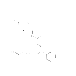 CCC1NC(CNC(=O)c2cc(CNC(=N)N)cc(-c3ccnc(C)c3)c2)CCC1Cl